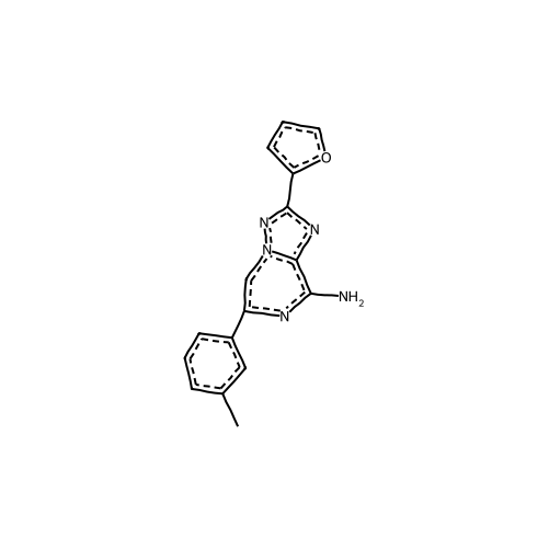 Cc1cccc(-c2cn3nc(-c4ccco4)nc3c(N)n2)c1